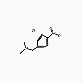 C[S+](C)Cc1ccc([N+](=O)[O-])cc1.[Cl-]